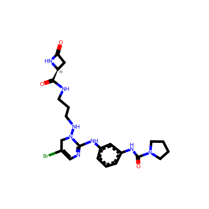 O=C1C[C@@H](C(=O)NCCCNN2CC(Br)=CN=C2Nc2cccc(NC(=O)N3CCCC3)c2)N1